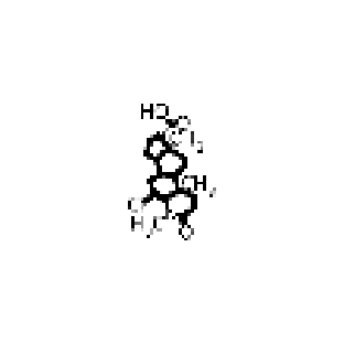 CN1C(=O)CC[C@@]2(C)C1=C(Cl)CC1C2CC[C@@]2(C)C1CC[C@@H]2C(=O)O